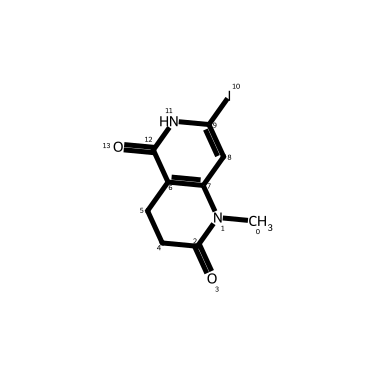 CN1C(=O)CCc2c1cc(I)[nH]c2=O